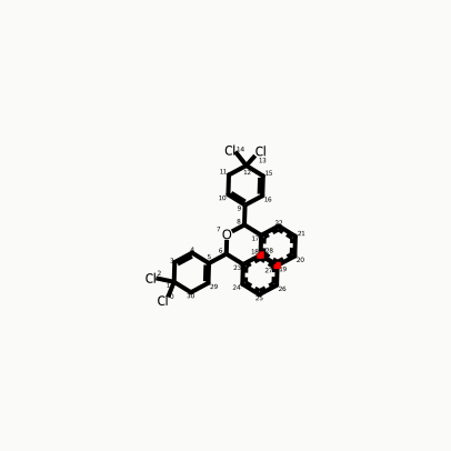 ClC1(Cl)C=CC(C(OC(C2=CCC(Cl)(Cl)C=C2)c2ccccc2)c2ccccc2)=CC1